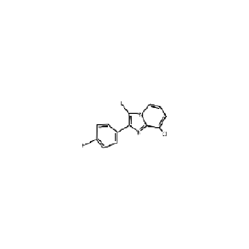 Fc1ccc(-c2nc3c(Cl)cccn3c2I)cc1